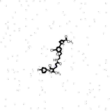 CC(=O)c1ccc(-c2cc(Cl)c3c(c2)CC(CNC(=O)/C=C/c2c(C)nn(-c4ccc(F)cc4)c2Cl)O3)s1